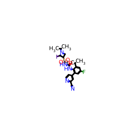 CC(C)c1cc(F)cc(-c2ccnc(C#N)c2)c1NC(=O)NS(=O)(=O)C1CN(C(C)C)C1I